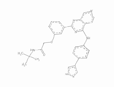 CC(C)(C)NC(=O)COc1cccc(-c2nc(Nc3ccc(-c4cn[nH]c4)cc3)c3ccncc3n2)c1